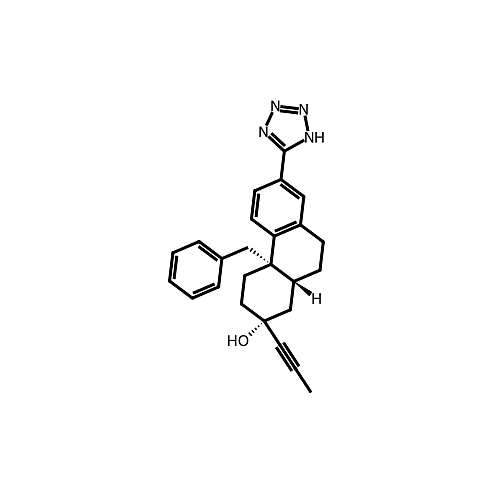 CC#C[C@@]1(O)CC[C@@]2(Cc3ccccc3)c3ccc(-c4nnn[nH]4)cc3CC[C@@H]2C1